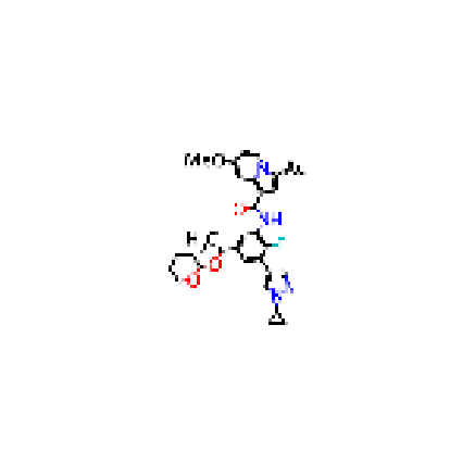 COc1ccn2c(C(C)=O)cc(C(=O)Nc3cc(C(C)OC4CCCCO4)cc(-c4cnn(C5CC5)c4)c3F)c2c1